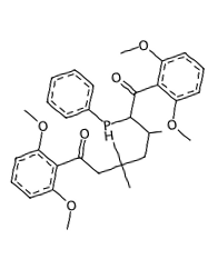 COc1cccc(OC)c1C(=O)CC(C)(C)CC(C)C(Pc1ccccc1)C(=O)c1c(OC)cccc1OC